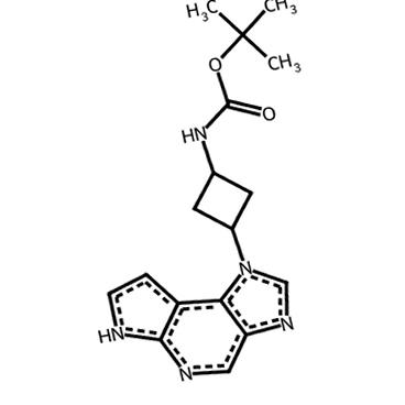 CC(C)(C)OC(=O)NC1CC(n2cnc3cnc4[nH]ccc4c32)C1